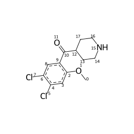 COc1cc(Cl)c(Cl)cc1C(=O)C1CCNCC1